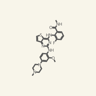 CNC(=O)c1cccc(F)c1Nc1nc(Nc2ccc(N3CCN(C)CC3)cc2OC)nc2ccsc12